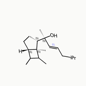 CC(C)C/C=C/[C@](C)(O)[C@H]1CC[C@H]2C(C)C(C)[C@@]21C